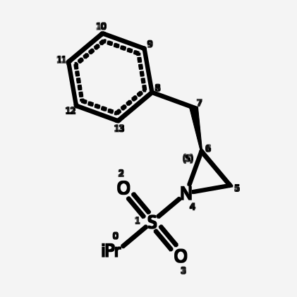 CC(C)S(=O)(=O)N1C[C@@H]1Cc1ccccc1